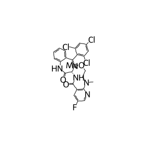 COCCN(C)c1ncc(F)cc1C(=O)N[C@H]1N=C(c2c(Cl)cc(Cl)cc2Cl)c2ccccc2NC1=O